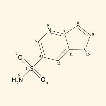 NS(=O)(=O)c1cnc2ccsc2c1